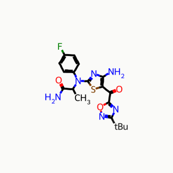 CC(C(N)=O)N(c1ccc(F)cc1)c1nc(N)c(C(=O)c2nc(C(C)(C)C)no2)s1